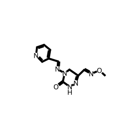 CON=CC1=NNC(=O)N(N=Cc2cccnc2)C1